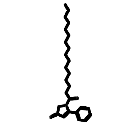 CCCCCCCCCCCCCCCC(=O)N1CS(=S)C=C1c1ccccc1